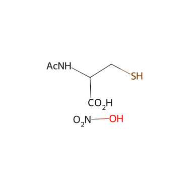 CC(=O)NC(CS)C(=O)O.O=[N+]([O-])O